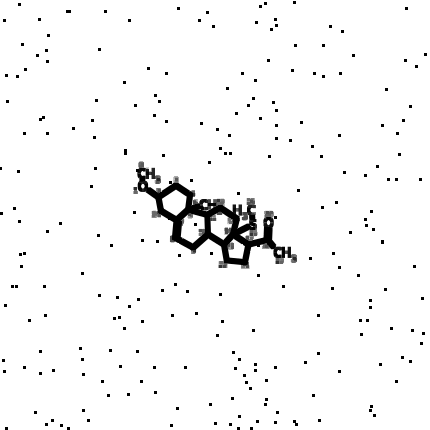 COC1CCC2(C)C(=CCC3C2CCC2(SC)C(C(C)=O)CCC32)C1